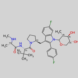 CN[C@@H](C)C(=O)N[C@H](C(=O)N1CCC[C@H]1Cc1c(-c2ccc(F)cc2)n(C2OC[C@@H](O)[C@H](O)[C@H]2C)c2cc(F)ccc12)C(C)(C)C